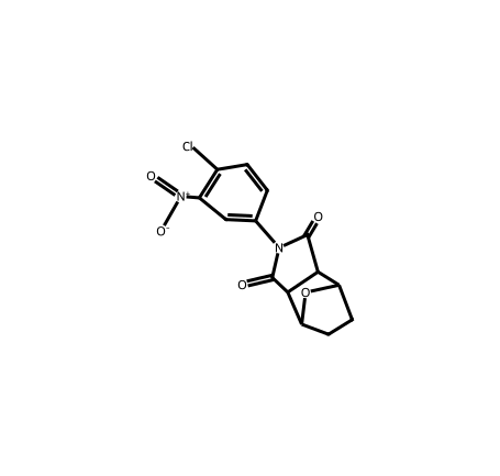 O=C1C2C3CCC(O3)C2C(=O)N1c1ccc(Cl)c([N+](=O)[O-])c1